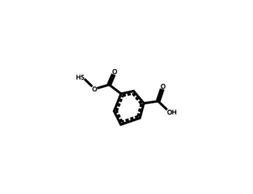 O=C(O)c1cccc(C(=O)OS)c1